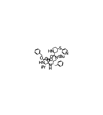 CC(C)[C@H](NC(=O)OCc1ccccc1)C(=O)N[C@@H](Cc1ccccc1)[C@H](O)CN(C(=O)[C@@H]1C[C@H](Sc2ccncc2)CCN1)C(C)(C)C